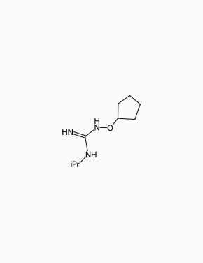 CC(C)NC(=N)NOC1CCCC1